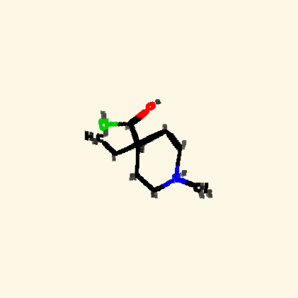 CCC1(C(=O)Cl)CCN(C)CC1